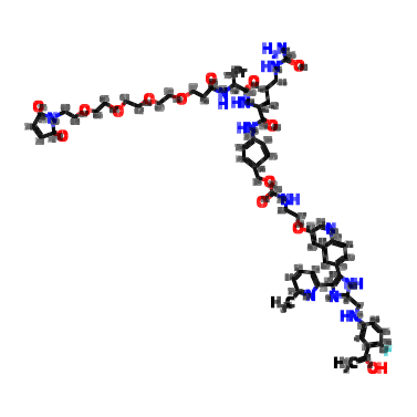 C=C(O)c1cc(NCc2nc(-c3cccc(C)n3)c(-c3ccc4ncc(OCCNC(=O)OCc5ccc(NC(=O)[C@H](CCCNC(N)=O)NC(=O)C(NC(=O)CCOCCOCCOCCOCCN6C(=O)C=CC6=O)C(C)C)cc5)cc4c3)[nH]2)ccc1F